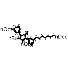 CCCCCCCCCCCCCCCCCc1cccc(C2=C(CCCCCCCC)C(CCCC)=C(c3cccc(CCCCCCCC)c3)[N+]2=[N-])c1